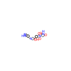 O=C1CCC(N2C(=O)c3ccc(C4(O)CCN(Cc5ccc6cn[nH]c6c5)CC4)cc3C2=O)C(=O)N1